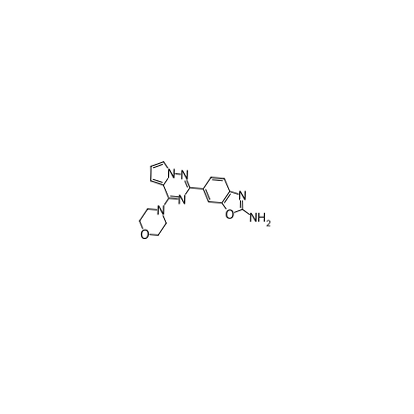 Nc1nc2ccc(-c3nc(N4CCOCC4)c4cccn4n3)cc2o1